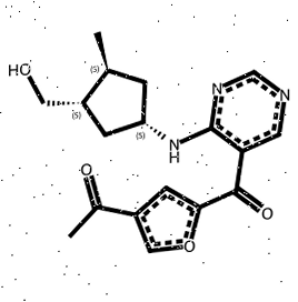 CC(=O)c1coc(C(=O)c2cncnc2N[C@@H]2C[C@H](CO)[C@@H](C)C2)c1